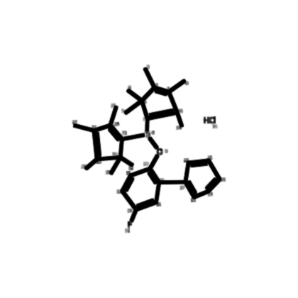 CC1=C(C)C(C)(C)[C]([Ti]([O]c2ccc(F)cc2-c2ccccc2)[C]2=C(C)C(C)=C(C)C2(C)C)=C1C.Cl